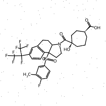 Cc1cc(S(=O)(=O)C23CCN(C(=O)[C@@]4(O)CCC[C@H](C(=O)O)CC4)C2CCc2cc(C(F)(C(F)(F)F)C(F)(F)F)ccc23)ccc1F